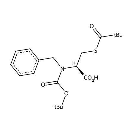 CC(C)(C)OC(=O)N(Cc1ccccc1)[C@@H](CSC(=O)C(C)(C)C)C(=O)O